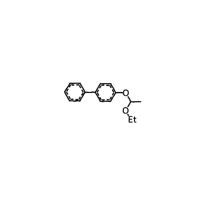 CCOC(C)Oc1ccc(-c2ccccc2)cc1